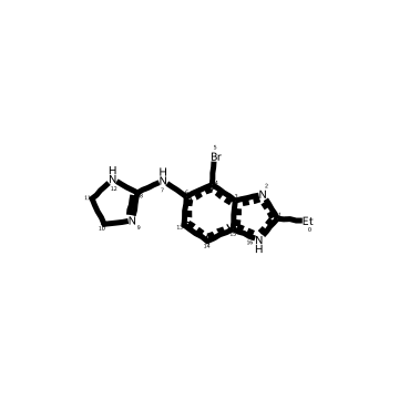 CCc1nc2c(Br)c(NC3=NCCN3)ccc2[nH]1